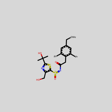 COCc1cc(C(C)C)c(CC(=O)/N=[SH](=O)\c2sc(C(C)(C)O)nc2CO)c(C(C)C)c1